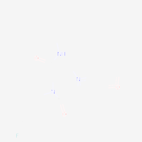 Cc1cc2c(cc3n2CC(C)(C(=O)NC2CCCCCC2)N(c2cccc(F)c2)C3=O)o1